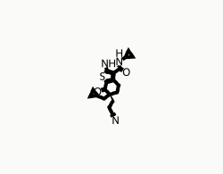 N#CCC[C@]1(CC2CC2)CCc2c(sc(N)c2C(=O)NC2CC2)C1=O